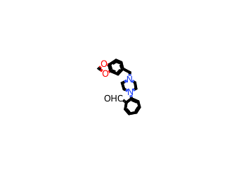 O=CC1C=CC=CC=C1N1CCN(Cc2ccc3c(c2)OCO3)CC1